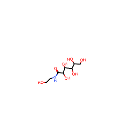 O=C(NCCO)C(O)C(O)C(O)C(O)CO